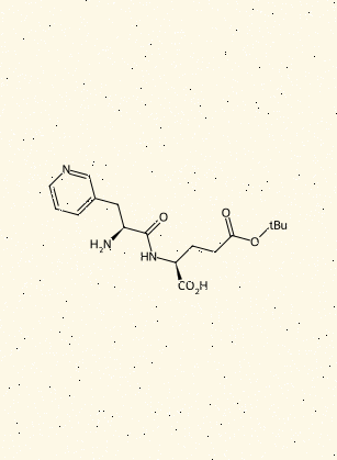 CC(C)(C)OC(=O)CC[C@H](NC(=O)[C@@H](N)Cc1cccnc1)C(=O)O